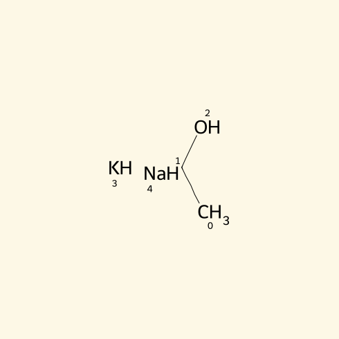 CCO.[KH].[NaH]